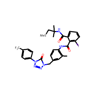 CSCC(C)(C)NC(=O)c1cccc(I)c1C(=O)Nc1ccc(Cn2nnn(-c3ccc(C(F)(F)F)cc3)c2=O)cc1C